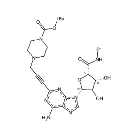 CCNC(=O)[C@H]1O[C@@H](n2cnc3c(N)nc(C#CCN4CCN(C(=O)OC(C)(C)C)CC4)nc32)C(O)[C@H]1O